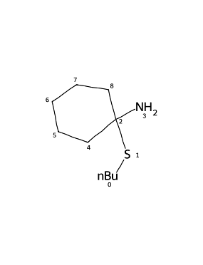 CCCCSC1(N)CCCCC1